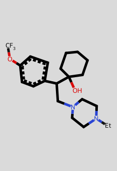 CCN1CCN(CC(c2ccc(OC(F)(F)F)cc2)C2(O)CCCCC2)CC1